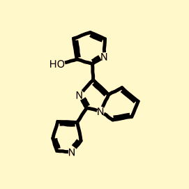 Oc1cccnc1-c1nc(-c2cccnc2)n2ccccc12